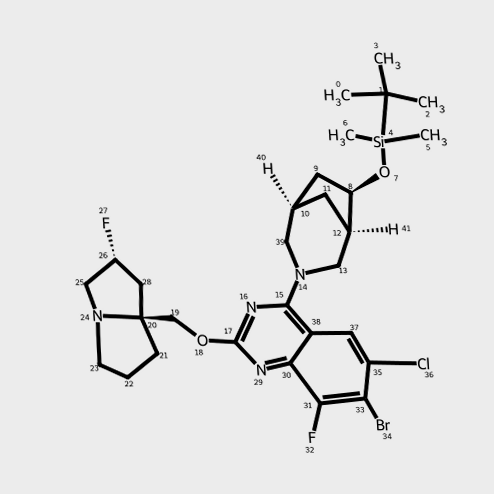 CC(C)(C)[Si](C)(C)O[C@@H]1C[C@H]2C[C@@H]1CN(c1nc(OC[C@@]34CCCN3C[C@H](F)C4)nc3c(F)c(Br)c(Cl)cc13)C2